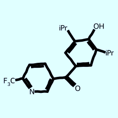 CC(C)c1cc(C(=O)c2ccc(C(F)(F)F)nc2)cc(C(C)C)c1O